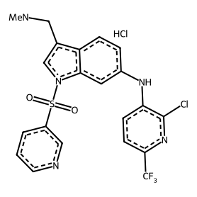 CNCc1cn(S(=O)(=O)c2cccnc2)c2cc(Nc3ccc(C(F)(F)F)nc3Cl)ccc12.Cl